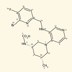 C[C@@H]1C[C@H](NC(=O)O)CN(c2ccncc2NCc2ccc(F)c(Br)n2)C1